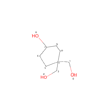 OCC1(CO)CCC(O)CC1